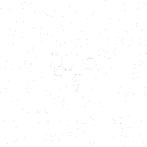 Cc1cccc(-c2sc(N(C)C)nc2C(=O)N2CCSC2CN)c1